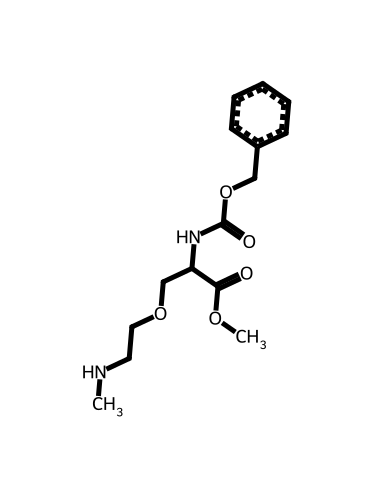 CNCCOCC(NC(=O)OCc1ccccc1)C(=O)OC